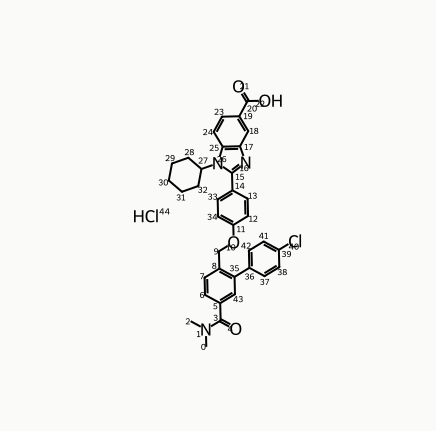 CN(C)C(=O)c1ccc(COc2ccc(-c3nc4cc(C(=O)O)ccc4n3C3CCCCC3)cc2)c(-c2ccc(Cl)cc2)c1.Cl